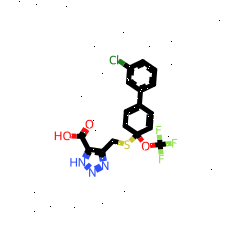 O=C(O)c1[nH]nnc1CSC1(OC(F)(F)F)C=CC(c2cccc(Cl)c2)=CC1